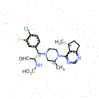 C[C@@H]1CCc2ncnc(N3CCN([C@@H](c4ccc(Cl)c(F)c4)C(C=O)NC(=O)O)C[C@@H]3C)c21